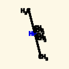 CCCCCCCCCCCCCCCC(CCNCCC(CCCCCCCCCCCCCCC)C(C)C)C(C)C